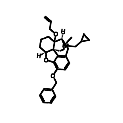 C=CCOC12CCC[C@@H]3Oc4c(OCc5ccccc5)ccc5c4[C@@]31CC[N+](C)(CC1CC1)[C@@H]2C5